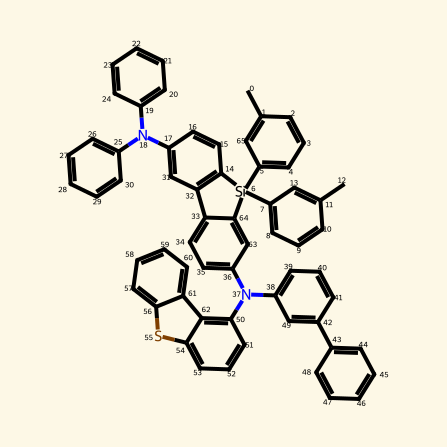 Cc1cccc([Si]2(c3cccc(C)c3)c3ccc(N(c4ccccc4)c4ccccc4)cc3-c3ccc(N(c4cccc(-c5ccccc5)c4)c4cccc5sc6ccccc6c45)cc32)c1